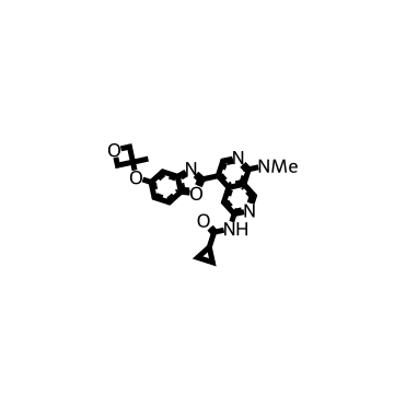 CNc1ncc(-c2nc3cc(OC4(C)COC4)ccc3o2)c2cc(NC(=O)C3CC3)ncc12